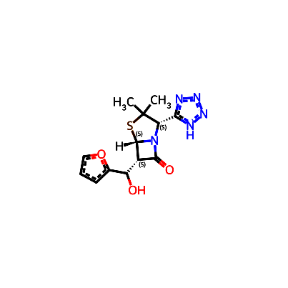 CC1(C)S[C@H]2[C@@H](C(O)c3ccco3)C(=O)N2[C@H]1c1nnn[nH]1